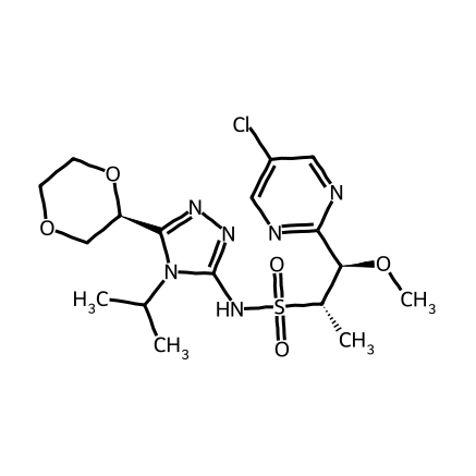 CO[C@H](c1ncc(Cl)cn1)[C@H](C)S(=O)(=O)Nc1nnc([C@H]2COCCO2)n1C(C)C